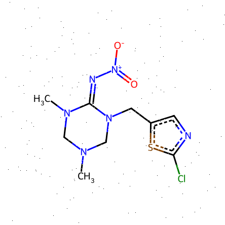 CN1CN(C)/C(=N/[N+](=O)[O-])N(Cc2cnc(Cl)s2)C1